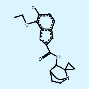 CCOc1c(Cl)ccc2cc(C(=O)NC3C4CCN(CC4)C34CC4)sc12